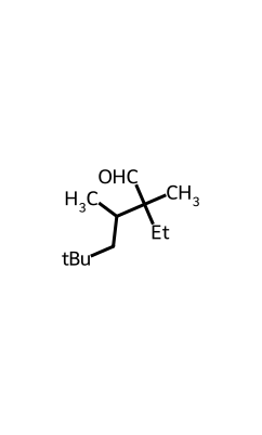 CCC(C)(C=O)C(C)CC(C)(C)C